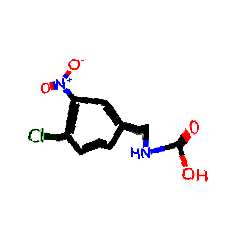 O=C(O)NCc1ccc(Cl)c([N+](=O)[O-])c1